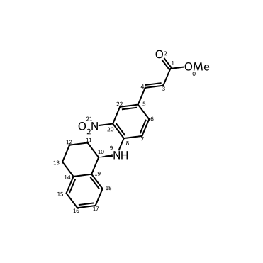 COC(=O)/C=C/c1ccc(N[C@@H]2CCCc3ccccc32)c([N+](=O)[O-])c1